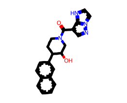 O=C(c1cnn2cc[nH]c12)N1CCC(c2ccc3ccccc3c2)C(O)C1